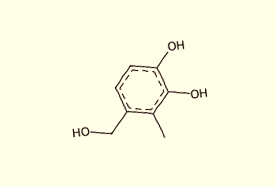 Cc1c(CO)ccc(O)c1O